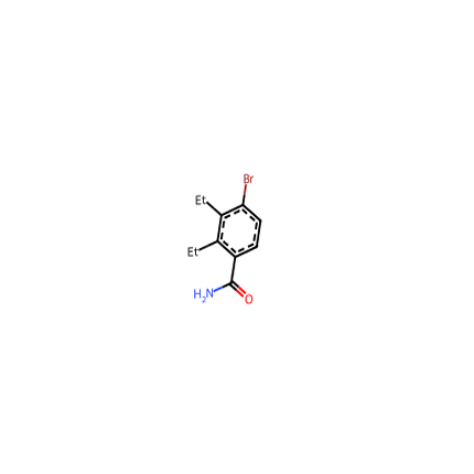 CCc1c(Br)ccc(C(N)=O)c1CC